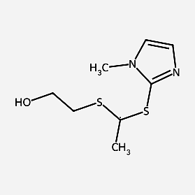 C[C](SCCO)Sc1nccn1C